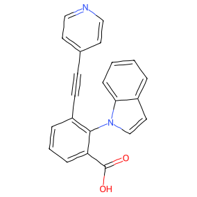 O=C(O)c1cccc(C#Cc2ccncc2)c1-n1ccc2ccccc21